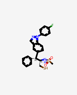 CS(=O)(=O)N[C@H](CS)[C@H](c1ccccc1)c1ccc2c(cnn2-c2ccc(F)cc2)c1